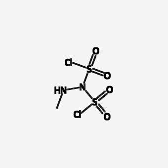 CNN(S(=O)(=O)Cl)S(=O)(=O)Cl